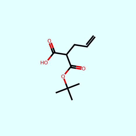 C=CCC(C(=O)O)C(=O)OC(C)(C)C